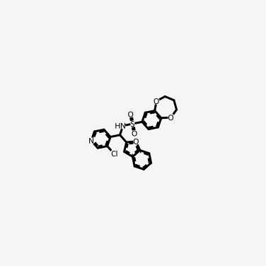 O=S(=O)(NC(c1cc2ccccc2o1)c1ccncc1Cl)c1ccc2c(c1)OCCCO2